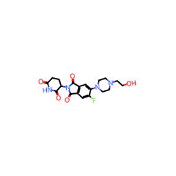 O=C1CCC(N2C(=O)c3cc(F)c(N4CCN(CCO)CC4)cc3C2=O)C(=O)N1